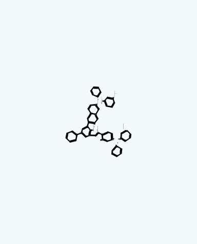 Fc1cccc(N(c2ccccc2)c2ccc3cc4c5cc(-c6ccccc6)cc6c7sc8cc(N(c9ccccc9)c9cccc(F)c9)ccc8c7n(c4cc3c2)c56)c1